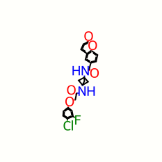 O=C(COc1ccc(Cl)c(F)c1)NC12CC(NC(=O)c3ccc4oc(=O)ccc4c3)(C1)C2